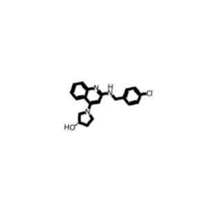 O[C@H]1CCN(c2cc(NCc3ccc(Cl)cc3)nc3ccccc23)C1